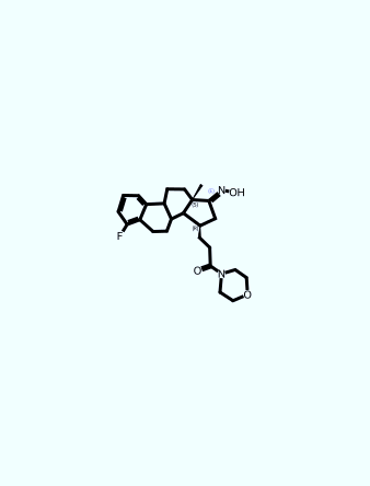 C[C@]12CCC3c4cccc(F)c4CCC3C1[C@H](CCC(=O)N1CCOCC1)C/C2=N\O